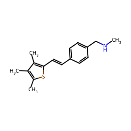 CNCc1ccc(/C=C/c2sc(C)c(C)c2C)cc1